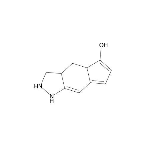 OC1=CC=C2C=C3NNCC3CC12